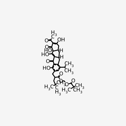 CC(=O)C1=C(O)C[C@H]2C[C@H]3Cc4c(C(C)C)cc(CC(CC(C)(C)C)C(=O)OCOC(=O)C(C)(C)C)c(O)c4C(=O)C3=C(O)[C@@]2(O)C1=O